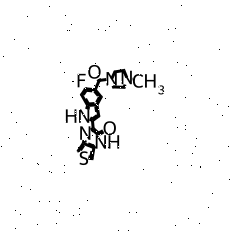 CN1CCN(C(=O)c2cc3cc(-c4nc5cscc5[nH]c4=O)[nH]c3cc2F)CC1